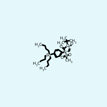 CCC[CH2][Sn]([CH2]CCC)([CH2]CCC)[c]1ccc([N+](C=C=O)(C(=O)OC(C)(C)C)S(C)(=O)=O)cc1